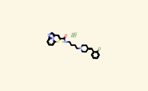 Cl.Cl.O=C(NCCCCN1CCC(=Cc2ccccc2Cl)CC1)C1=Cc2cnc3cccc(n23)S1